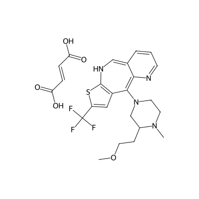 COCCC1CN(C2=c3ncccc3=CNc3sc(C(F)(F)F)cc32)CCN1C.O=C(O)C=CC(=O)O